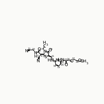 CCn1c(=C(C#N)C(=O)NCC#N)sc(=CNc2cccc(NC(=O)COCCOC)n2)c1=O